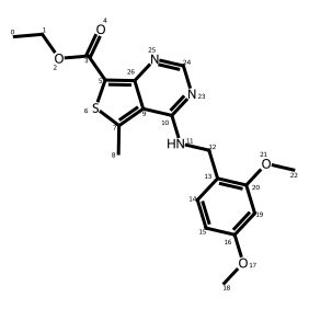 CCOC(=O)c1sc(C)c2c(NCc3ccc(OC)cc3OC)ncnc12